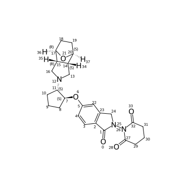 O=C1c2ccc(O[C@H]3CCC[C@@H]3N3C[C@@H]4[C@H](C3)[C@H]3CC[C@@H]4O3)cc2CN1N1C(=O)CCCC1=O